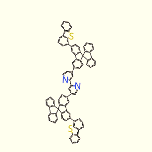 c1ccc2c(c1)-c1ccccc1C21c2ccc(-c3ccnc(-c4cc(-c5ccc6c(c5)-c5cc(-c7cccc8c7sc7ccccc78)ccc5C65c6ccccc6-c6ccccc65)ccn4)c3)cc2-c2cc(-c3cccc4c3sc3ccccc34)ccc21